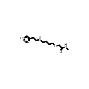 CNC(=O)COCCCCNCCc1c[nH]nn1